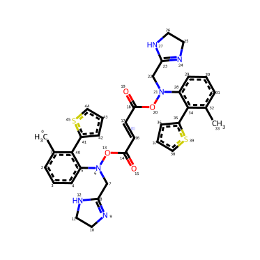 Cc1cccc(N(CC2=NCCN2)OC(=O)/C=C/C(=O)ON(CC2=NCCN2)c2cccc(C)c2-c2cccs2)c1-c1cccs1